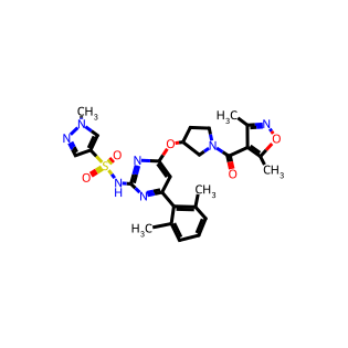 Cc1cccc(C)c1-c1cc(OC2CCN(C(=O)c3c(C)noc3C)C2)nc(NS(=O)(=O)c2cnn(C)c2)n1